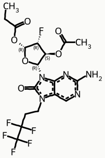 CCC(=O)O[C@H]1O[C@@H](n2c(=O)n(CCC(F)(F)C(F)(F)F)c3cnc(N)nc32)[C@H](OC(C)=O)[C@H]1F